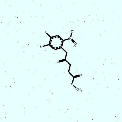 COC(=O)CCC(=O)Cc1cc(Br)c(F)cc1[N+](=O)[O-]